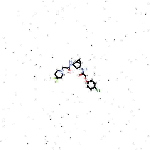 O=C(CN1CCC(F)(F)CC1)N[C@H]1C[C@@H](NC(=O)COc2ccc(Cl)cc2)C2CC21